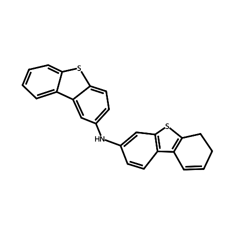 C1=Cc2c(sc3cc(Nc4ccc5sc6ccccc6c5c4)ccc23)CC1